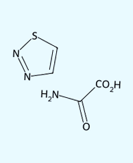 NC(=O)C(=O)O.c1csnn1